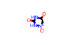 O=c1c[n+]([O-])[nH]c(=O)[nH]1